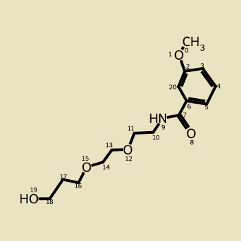 COc1cccc(C(=O)NCCOCCOCCCO)c1